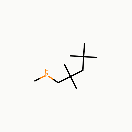 CPCC(C)(C)CC(C)(C)C